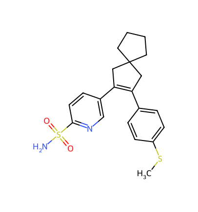 CSc1ccc(C2=C(c3ccc(S(N)(=O)=O)nc3)CC3(CCCC3)C2)cc1